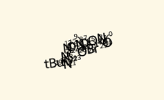 Cc1nc(COc2cc(C)n(-c3ccnc(-c4nc(C(C)(C)C)ncc4C)c3)c(=O)c2Br)co1